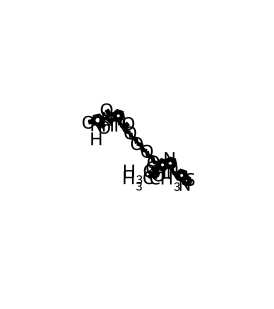 CC(C)(C)S(=O)(=O)c1cc2c(Nc3ccc4scnc4c3)ccnc2cc1OCCOCCOCCOCC(=O)Nc1cccc2c1CN(C1CCC(=O)NC1=O)C2=O